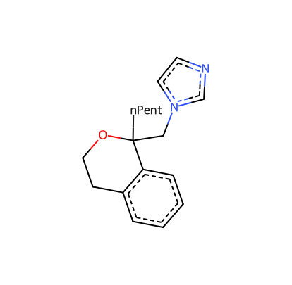 CCCCCC1(Cn2ccnc2)OCCc2ccccc21